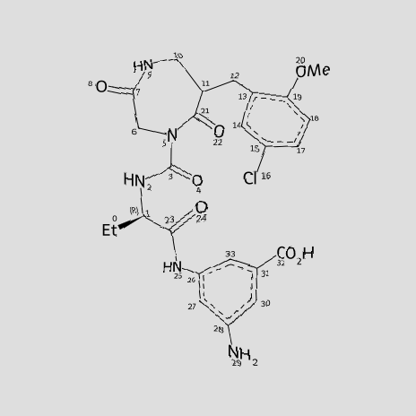 CC[C@@H](NC(=O)N1CC(=O)NCC(Cc2cc(Cl)ccc2OC)C1=O)C(=O)Nc1cc(N)cc(C(=O)O)c1